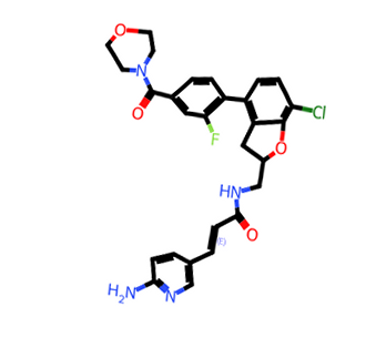 Nc1ccc(/C=C/C(=O)NCC2Cc3c(-c4ccc(C(=O)N5CCOCC5)cc4F)ccc(Cl)c3O2)cn1